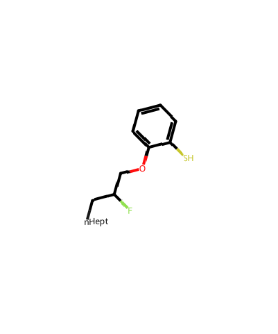 CCCCCCCCC(F)COc1ccccc1S